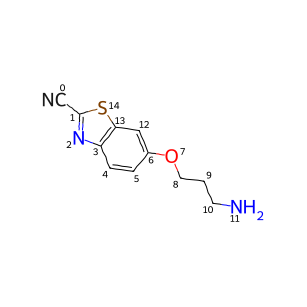 N#Cc1nc2ccc(OCCCN)cc2s1